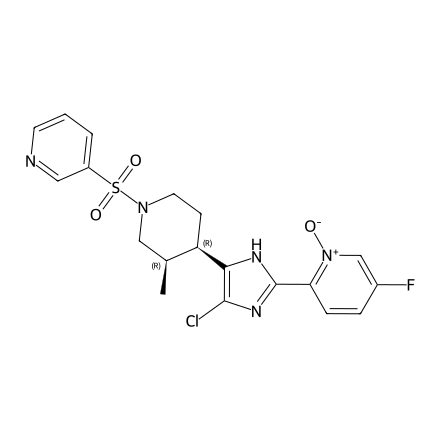 C[C@H]1CN(S(=O)(=O)c2cccnc2)CC[C@H]1c1[nH]c(-c2ccc(F)c[n+]2[O-])nc1Cl